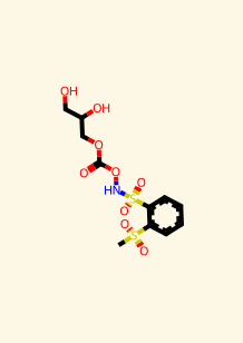 CS(=O)(=O)c1ccccc1S(=O)(=O)NOC(=O)OCC(O)CO